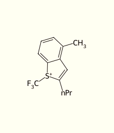 CCCc1cc2c(C)cccc2[s+]1C(F)(F)F